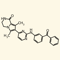 Cc1c(-c2ccnc(Nc3cccc(C(=O)c4ccccc4)c3)n2)c(C)n2c1C(=O)NCC2